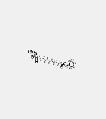 CC(C)(C)OC(=O)NCCCCCCCCCCCC(=O)OCc1ccccc1